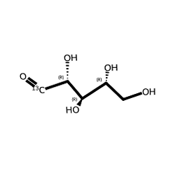 O=[13CH][C@H](O)[C@H](O)[C@H](O)CO